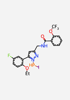 CCOc1ccc(F)cc1-c1cc(CNC(=O)c2ccccc2OC(F)(F)F)nn1PI